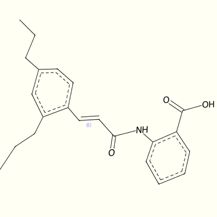 CCCc1ccc(/C=C/C(=O)Nc2ccccc2C(=O)O)c(CCC)c1